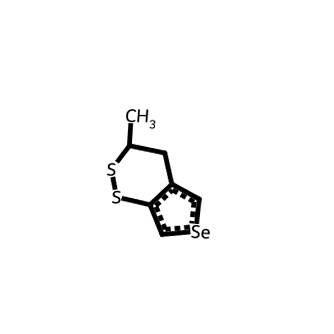 CC1Cc2c[se]cc2SS1